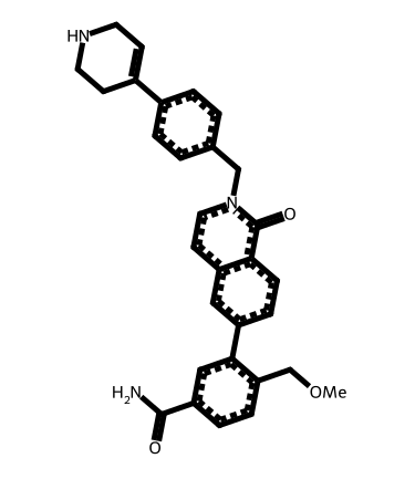 COCc1ccc(C(N)=O)cc1-c1ccc2c(=O)n(Cc3ccc(C4=CCNCC4)cc3)ccc2c1